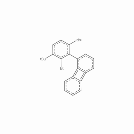 CCc1c(C(C)(C)C)ccc(C(C)(C)C)c1-c1cccc2c1=c1ccccc1=2